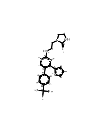 O=C1NCCN1CCNc1ncc(-c2ccc(C(F)(F)F)cc2)c(-c2cccs2)n1